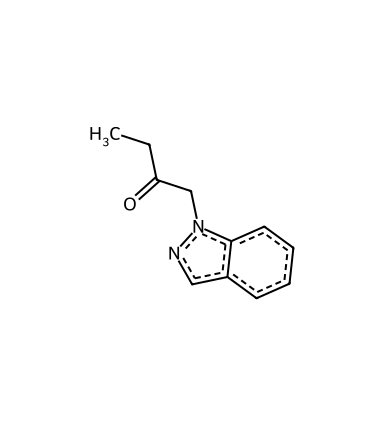 CCC(=O)Cn1ncc2ccccc21